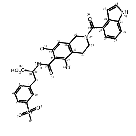 CS(=O)(=O)c1cccc(C[C@H](NC(=O)c2c(Cl)cc3c(c2Cl)CCN(C(=O)c2cccc4[nH]ccc24)C3)C(=O)O)c1